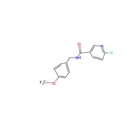 O=C(NCc1ccc(OC(F)(F)F)cc1)c1ccc(F)nc1